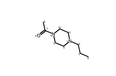 CC[CH]N1CCN(C(C)=O)CC1